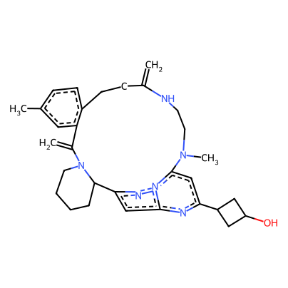 C=C1CCc2ccc(C)cc2C(=C)N2CCCCC2c2cc3nc(C4CC(O)C4)cc(n3n2)N(C)CCN1